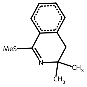 CSC1=NC(C)(C)Cc2ccccc21